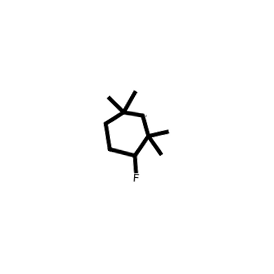 CC1(C)[CH]C(C)(C)C(F)CC1